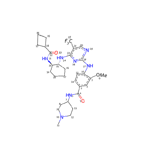 COc1cc(C(=O)NC2CCN(C)CC2)ccc1Nc1ncc(C(F)(F)F)c(N[C@@H]2CCCC[C@H]2NC(=O)C2CCC2)n1